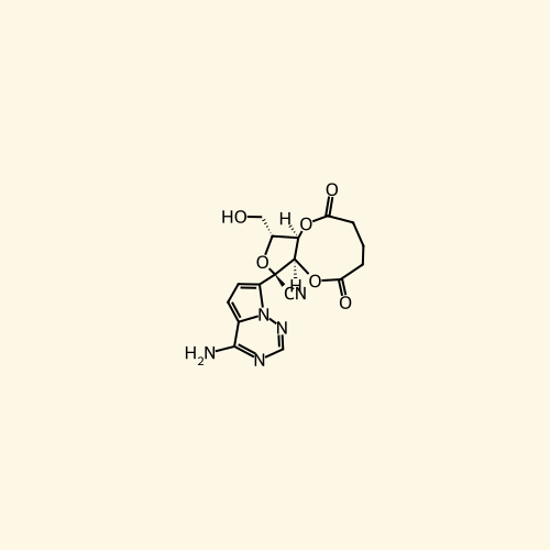 N#C[C@@]1(c2ccc3c(N)ncnn23)O[C@H](CO)[C@H]2OC(=O)CCCC(=O)O[C@H]21